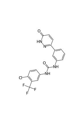 O=C(Nc1cccc(-c2ccc(=O)[nH]n2)c1)Nc1ccc(Cl)c(C(F)(F)F)c1